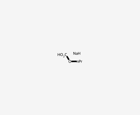 CCCOC(=O)O.[NaH]